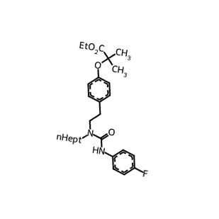 CCCCCCCN(CCc1ccc(OC(C)(C)C(=O)OCC)cc1)C(=O)Nc1ccc(F)cc1